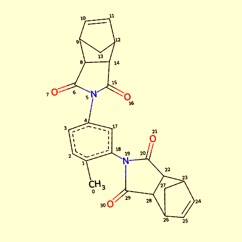 Cc1ccc(N2C(=O)C3C4C=CC(C4)C3C2=O)cc1N1C(=O)C2C3C=CC(C3)C2C1=O